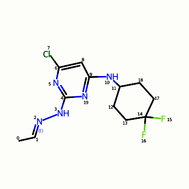 C/C=N/Nc1nc(Cl)cc(NC2CCC(F)(F)CC2)n1